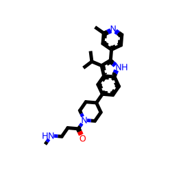 CNCCC(=O)N1CCC(c2ccc3[nH]c(-c4ccnc(C)c4)c(C(C)C)c3c2)CC1